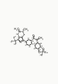 CC1Cc2c(c(C(F)(F)F)nn2-c2cccc(C(=O)N(C)c3ccc4c(c3)OC(F)(F)O4)c2)CN1C